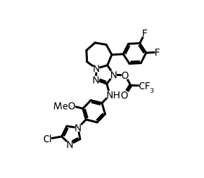 COc1cc(NC2=NN3CCCCC(c4ccc(F)c(F)c4)C3N2OC(=O)C(F)(F)F)ccc1-n1cnc(Cl)c1